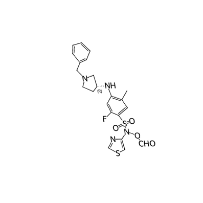 Cc1cc(S(=O)(=O)N(OC=O)c2cscn2)c(F)cc1N[C@@H]1CCN(Cc2ccccc2)C1